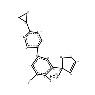 Cc1c(F)cc(-c2cnc(C3CC3)nc2)cc1C1(C(=O)O)C=CCC1